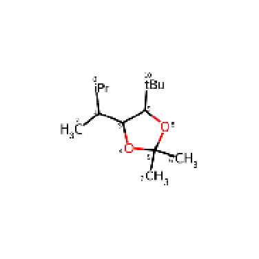 CC(C)C(C)C1OC(C)(C)OC1C(C)(C)C